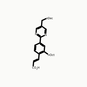 CCCCCCCCCCCc1cnc(-c2ccc(C=CC(=O)O)c(CCCCCCCC)c2)nc1